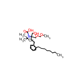 CCCCCCCCc1ccccc1CCC(CO)(COCOC)N(C(=O)O)C(C)(C)C